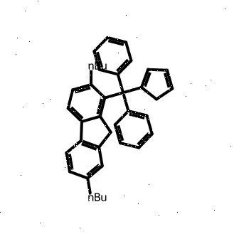 CCCCc1ccc2c(c1)Cc1c-2ccc(CCCC)c1C(C1=CC=CC1)(c1ccccc1)c1ccccc1